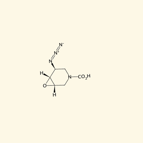 [N-]=[N+]=N[C@H]1CN(C(=O)O)C[C@@H]2O[C@H]12